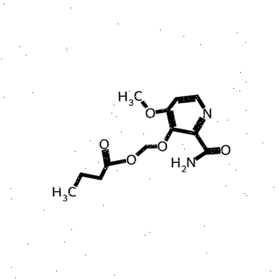 CCCC(=O)OCOc1c(OC)ccnc1C(N)=O